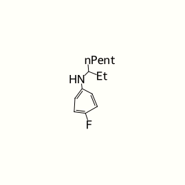 CCCCCC(CC)Nc1ccc(F)cc1